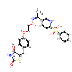 CC(=NOCCOc1ccc(CC2SC(=O)NC2=O)cc1)c1ccc(S(=O)(=O)c2ccccc2)nc1